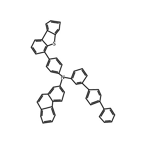 c1ccc(-c2ccc(-c3cccc(N(c4ccc(-c5cccc6c5sc5ccccc56)cc4)c4ccc5c(ccc6ccccc65)c4)c3)cc2)cc1